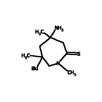 CCC(C)C1(C)CN(C)C(=S)CC(C)(N)C1